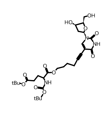 CC(C)(C)OC(=O)CCC(NC(=O)OC(C)(C)C)C(=O)OCCCCC#Cc1cn([C@H]2C[C@@H](O)[C@@H](CO)O2)c(=O)[nH]c1=O